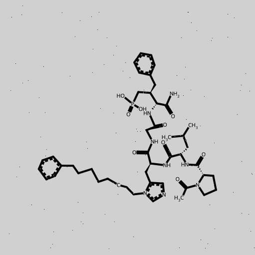 CC(=O)N1CCC[C@H]1C(=O)N[C@@H](CC(C)C)C(=O)N[C@@H](Cc1cncn1CCCCCCCCc1ccccc1)C(=O)NCC(=O)N[C@@H](C(N)=O)[C@H](Cc1ccccc1)CP(=O)(O)O